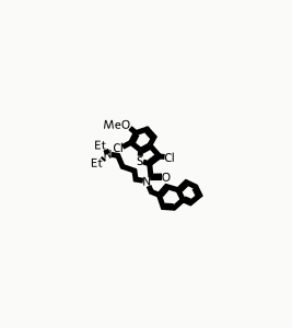 CCN(CC)CCCCN(Cc1ccc2ccccc2c1)C(=O)c1sc2c(Cl)c(OC)ccc2c1Cl